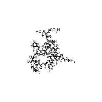 CC[C@H](C)[C@H](NC(=O)[C@H](CC(N)=O)NC(=O)CNC(=O)[C@@H]1CCCN1)C(=O)NCC(=O)N[C@@H](Cc1ccccc1)C(=O)N1CCC[C@H]1C(=O)NCC(=O)N1CCC[C@H]1C(=O)N[C@@H](CCCCN)C(=O)NCC(=O)N1CCC[C@H]1C(=O)N[C@@H](CO)C(=O)NCC(=O)N[C@@H](CCC(=O)O)C(=O)O